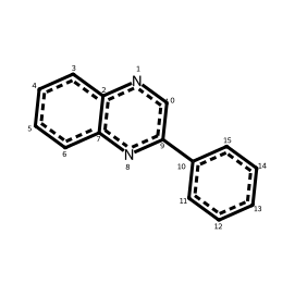 [c]1nc2ccccc2nc1-c1ccccc1